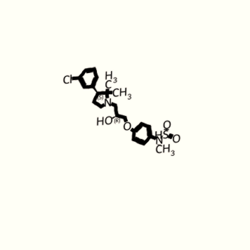 CN(c1ccc(OC[C@H](O)CN2CC[C@@H](c3cccc(Cl)c3)C2(C)C)cc1)[SH](=O)=O